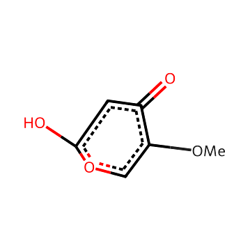 COc1coc(O)cc1=O